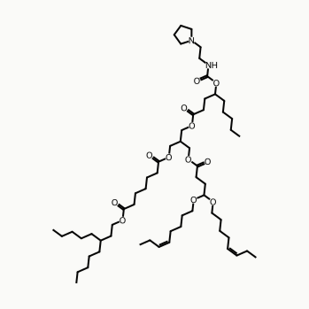 CC/C=C\CCCCOC(CCC(=O)OCC(COC(=O)CCCCCC(=O)OCCC(CCCCC)CCCCC)COC(=O)CCC(CCCCC)OC(=O)NCCN1CCCC1)OCCCC/C=C\CC